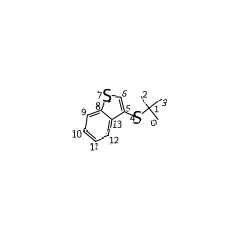 CC(C)(C)Sc1csc2ccccc12